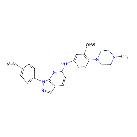 COc1ccc(-n2ncc3ccc(Nc4ccc(N5CCN(C)CC5)c(OC)c4)nc32)cc1